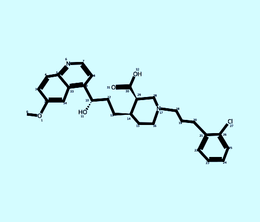 COc1ccc2nccc([C@@H](O)CC[C@@H]3CCN(CCCc4ccccc4Cl)C[C@@H]3C(=O)O)c2c1